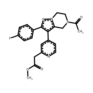 COC(=O)Cc1cc(-c2c(-c3ccc(F)cc3)nn3c2CN(C(C)=O)CC3)ccn1